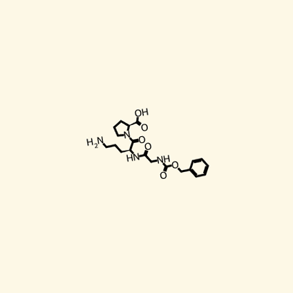 NCCC[C@H](NC(=O)CNC(=O)OCc1ccccc1)C(=O)N1CCC[C@H]1C(=O)O